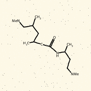 CNCCC(C)NC(=O)CC(C)CC(C)CNC